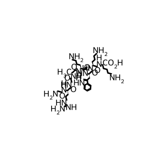 C[C@H](NC(=O)CNC(=O)[C@H](CCCNC(=N)N)NC(=O)CN)C(=O)N[C@@H](CCCCN)C(=O)N[C@@H](Cc1c[nH]c2ccccc12)C(=O)N[C@@H](CCCCN)C(=O)N[C@@H](CCCCN)C(=O)O